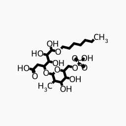 CCCCCCCOC(O)C(O)C(O)C(CC(=O)O)OC1OC(COS(=O)(=O)O)C(O)C(O)C1C